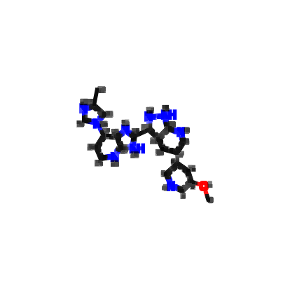 COc1cncc(-c2cnc3[nH]nc(-c4nc5c(-n6cnc(C)c6)ccnc5[nH]4)c3c2)c1